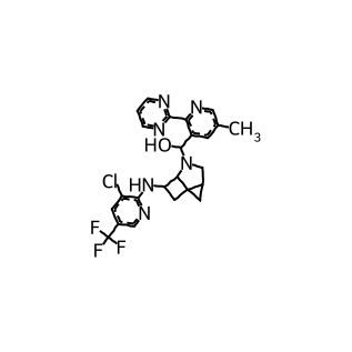 Cc1cnc(-c2ncccn2)c(C(O)N2CC3CC34CC(Nc3ncc(C(F)(F)F)cc3Cl)C24)c1